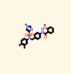 COc1ccccc1C(=O)Nc1ccc(CN(c2ccc(C)c(C)c2)S(=O)(=O)c2cn(C)cn2)cc1